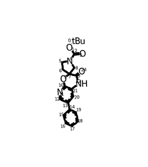 CC(C)(C)OC(=O)N1CCC2(C1)Oc1ncc(-c3ccccc3)cc1NC2=O